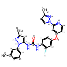 Cc1ccn(-c2cc(Oc3ccc(NC(=O)Nc4cc(C(C)(C)C)nn4-c4cccc(C#N)c4)c(F)c3)ccn2)n1